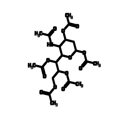 CC(=O)NC1C(OC(C)=O)CC(OC(C)=O)OC1C(OC(C)=O)C(COC(C)=O)OC(C)=O